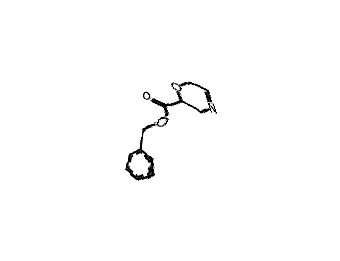 O=C(OCc1ccccc1)C1CN=CCO1